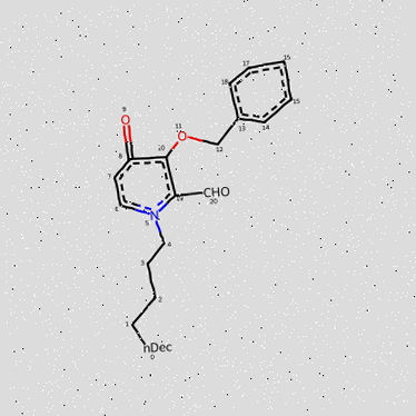 CCCCCCCCCCCCCCn1ccc(=O)c(OCc2ccccc2)c1C=O